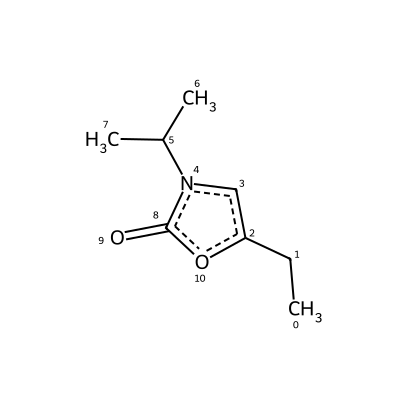 CCc1cn(C(C)C)c(=O)o1